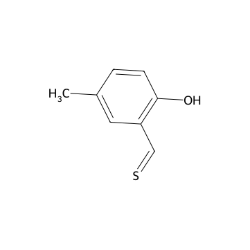 Cc1ccc(O)c(C=S)c1